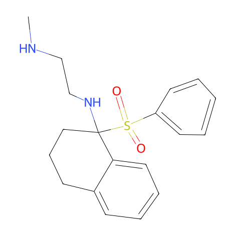 CNCCNC1(S(=O)(=O)c2ccccc2)CCCc2ccccc21